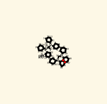 FC(F)(P(c1ccccc1)c1ccccc1)P(c1ccccc1)c1ccccc1.[Pd].[Pd].c1ccc(P(CP(c2ccccc2)c2ccccc2)c2ccccc2)cc1